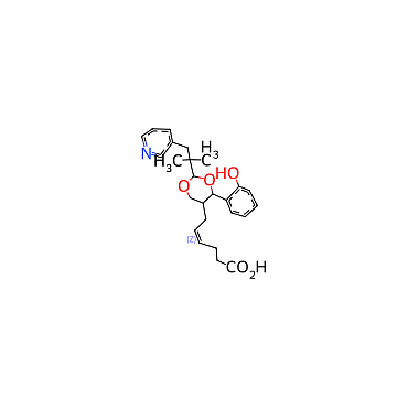 CC(C)(Cc1cccnc1)C1OCC(C/C=C\CCC(=O)O)C(c2ccccc2O)O1